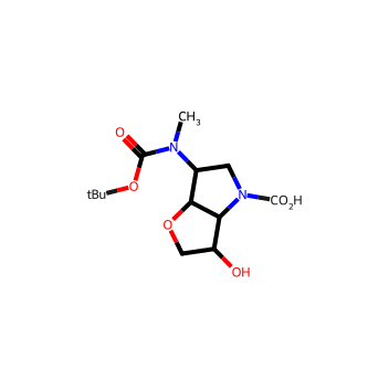 CN(C(=O)OC(C)(C)C)C1CN(C(=O)O)C2C(O)COC12